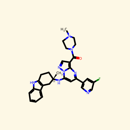 CN1CCN(C(=O)c2cnn3c(N[C@@]4(C)CCc5[nH]c6ccccc6c5C4)cc(-c4cncc(F)c4)nc23)CC1